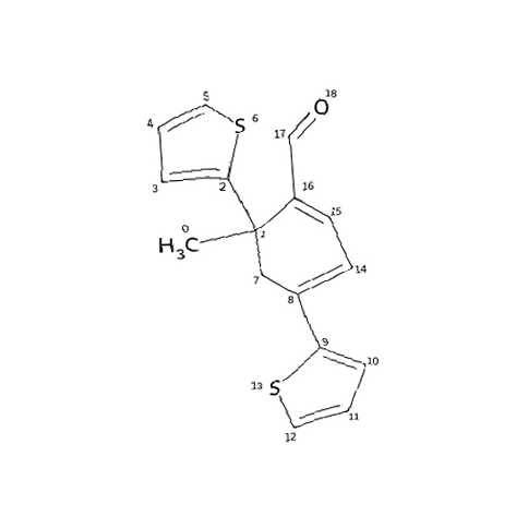 CC1(c2cccs2)CC(c2cccs2)=CC=C1C=O